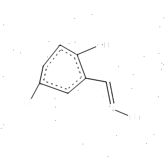 CCC/N=C/c1cc(Cl)ccc1O